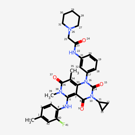 Cc1ccc(Nc2c3c(=O)n(C4CC4)c(=O)n(-c4cccc(NC(=O)CN5CCCCC5)c4)c3c(C)c(=O)n2C)c(F)c1